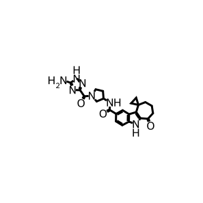 Nc1nc(C(=O)N2CCC(NC(=O)c3ccc4[nH]c5c(c4c3)C3(CCCC5=O)CC3)C2)n[nH]1